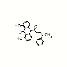 CC(CCC(=O)C1c2cccc(O)c2C(=O)c2c(O)cccc21)c1ccccc1